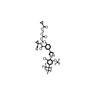 N#CC1(N(COC(=O)OCOC(=O)C2CC2)C(=O)c2cc(-c3cnn(-c4c(Cl)cc(C(F)(C(F)(F)F)C(F)(F)F)cc4OC(F)(F)F)c3)ccc2Cl)CC1